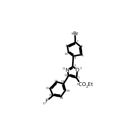 CCOC(=O)c1oc(-c2ccc(Br)cc2)nc1-c1ccc(F)cc1